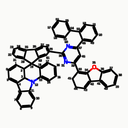 C1=CC2C3C(=C1)c1ccccc1N3c1ccccc1C21c2ccccc2-c2ccc(-c3nc(C4=c5oc6ccccc6c5=CCC4)cc(-c4ccccc4-c4ccccc4)n3)cc21